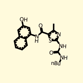 CCCCNC(=O)Nc1nc(C)c(C(=O)Nc2cc(O)cc3ccccc23)s1